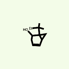 CCC(C)(C)C12CC1C=CCC2O